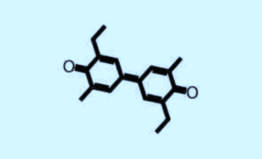 CCC1=C/C(=C2\C=C(C)C(=O)C(CC)=C2)C=C(C)C1=O